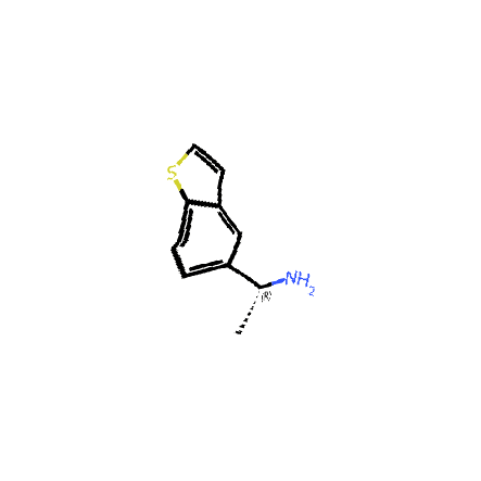 C[C@@H](N)c1ccc2sccc2c1